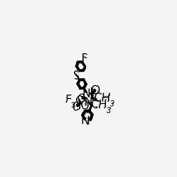 CC1(C)C(=O)N(c2ccc(Sc3ccc(F)cc3)cc2)C(=O)[N+]1(Cc1ccncc1)OC(=O)C(F)(F)F